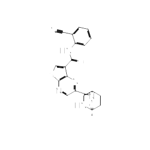 N#Cc1ccccc1NC(=O)c1csc2ncc(N3C[C@@H]4CCC3CN4)nc12